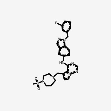 CS(=O)(=O)N1CCCN(Cc2ccn3ncnc(Nc4ccc5c(cnn5Cc5cccc(F)c5)c4)c23)CC1